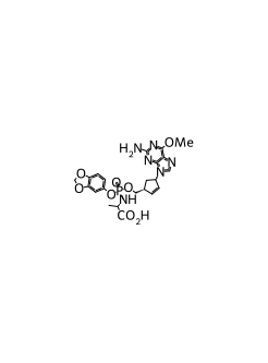 COc1nc(N)nc2c1ncn2[C@H]1C=C[C@@H](COP(=O)(NC(C)C(=O)O)Oc2ccc3c(c2)OCO3)C1